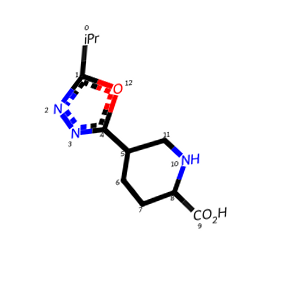 CC(C)c1nnc(C2CCC(C(=O)O)NC2)o1